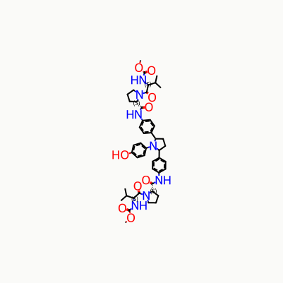 COC(=O)N[C@H](C(=O)N1CCC[C@H]1C(=O)Nc1ccc(C2CCC(c3ccc(NC(=O)[C@@H]4CCCN4C(=O)[C@@H](NC(=O)OC)C(C)C)cc3)N2c2ccc(O)cc2)cc1)C(C)C